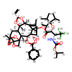 C=C[C@@H]1O[C@@H]2C3=C(C)[C@@H](OC(=O)[C@H](O[Si](C(C)C)(C(C)C)C(C)C)[C@@H](NC(=O)OC(C)C)C(F)(F)F)C[C@@](O)([C@@H](OC(=O)c4ccccc4)[C@H]4[C@@](C)(CC[C@H]5OC[C@]54OC(C)=O)[C@@H]2O1)C3(C)C